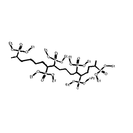 CCCOP(=O)(OCC)C(CCC(C)P(=O)(OCC)OCC)C(CCCC(C(CCCCC(C)P(=O)(OCC)OCC)P(=O)(OCC)OCC)P(=O)(OCC)OCC)P(=O)(OCC)OCC